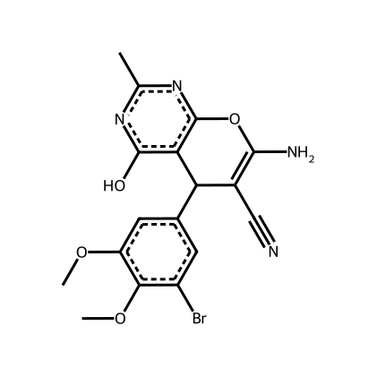 COc1cc(C2C(C#N)=C(N)Oc3nc(C)nc(O)c32)cc(Br)c1OC